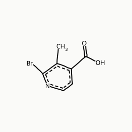 Cc1c(C(=O)O)ccnc1Br